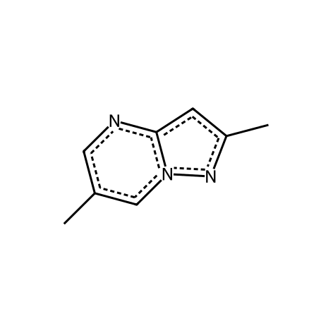 Cc1cnc2cc(C)nn2c1